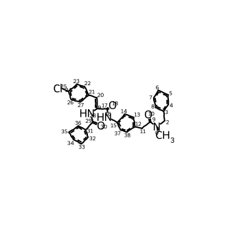 CN(Cc1ccccc1)C(=O)Cc1ccc(NC(=O)/C(=C/c2ccc(Cl)cc2)NC(=O)c2ccccc2)cc1